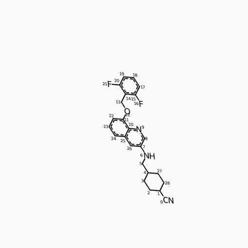 N#CC1CCC(CNc2cnc3c(OCc4c(F)cccc4F)cccc3c2)CC1